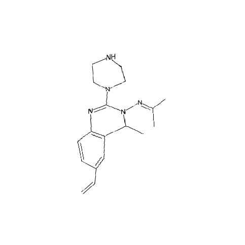 C=Cc1ccc2c(c1)C(C)N(N=C(C)C)C(N1CCNCC1)=N2